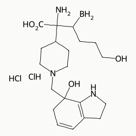 BC(CCCO)C(N)(C(=O)O)C1CCN(CC2(O)CC=CC3=C2NCC3)CC1.Cl.Cl